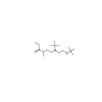 CCC(=O)C(C)CCN(CCSC(C)(C)C)C(C)(C)C